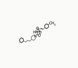 Cc1ccc(C=CS(=O)(=O)NC(=O)N2CCC(CCCc3ccccc3)CC2)cc1